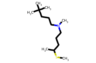 CSC(C)CCCN(C)CCCC(C)(C)C